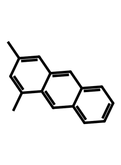 Cc1cc(C)c2cc3ccccc3cc2c1